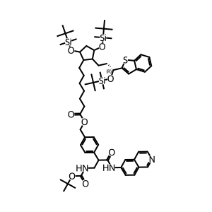 CC(C)(C)OC(=O)NCC(C(=O)Nc1ccc2cnccc2c1)c1ccc(COC(=O)CCCCCCC2C(O[Si](C)(C)C(C)(C)C)CC(O[Si](C)(C)C(C)(C)C)C2CC[C@@H](O[Si](C)(C)C(C)(C)C)c2cc3ccccc3s2)cc1